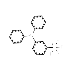 FS(F)(F)(F)(F)c1cccc(N(c2ccccc2)c2ccccc2)c1